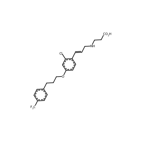 O=C(O)CCNCC=Cc1ccc(OCCCc2ccc(C(F)(F)F)cc2)cc1Cl